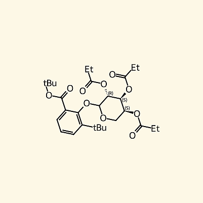 CCC(=O)O[C@H]1[C@@H](OC(=O)CC)COC(Oc2c(C(=O)OC(C)(C)C)cccc2C(C)(C)C)[C@@H]1OC(=O)CC